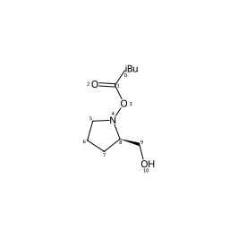 CCC(C)C(=O)ON1CCC[C@@H]1CO